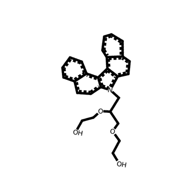 OCCOCC(Cn1c2ccc3ccccc3c2c2c3ccccc3ccc21)OCCO